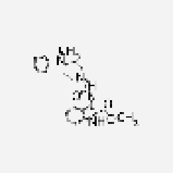 COC(=O)c1[nH]c2ccccc2c1NC(=O)CN1CCC(N(C)c2ccccc2)CC1